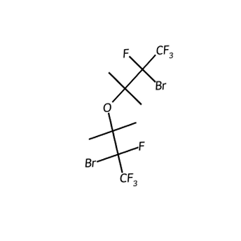 CC(C)(OC(C)(C)C(F)(Br)C(F)(F)F)C(F)(Br)C(F)(F)F